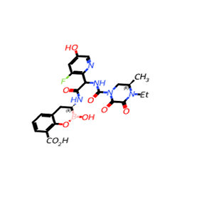 CCN1C(=O)C(=O)N(C(=O)NC(C(=O)N[C@H]2Cc3cccc(C(=O)O)c3OB2O)c2ncc(O)cc2F)C[C@H]1C